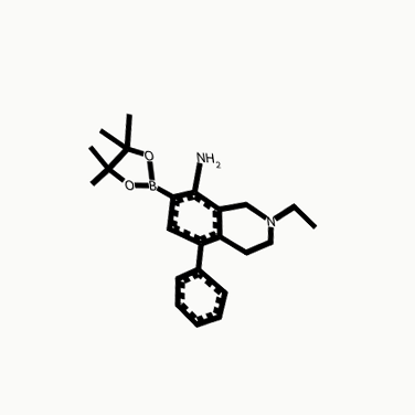 CCN1CCc2c(-c3ccccc3)cc(B3OC(C)(C)C(C)(C)O3)c(N)c2C1